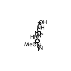 COc1cc(Nc2nc(C)cc(CNCC(C)(C)O)n2)ccc1-n1cnc(C)c1